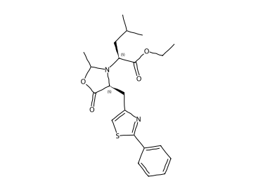 CCOC(=O)[C@H](CC(C)C)N1C(C)OC(=O)[C@@H]1Cc1csc(-c2ccccc2)n1